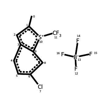 Cc1cc2ccc(Cl)cc2[s+]1C(F)(F)F.F[B-](F)(F)F